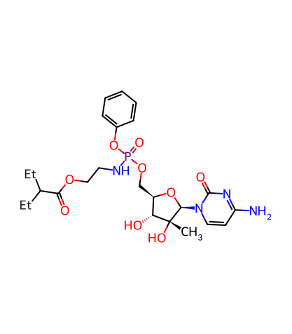 CCC(CC)C(=O)OCCNP(=O)(OC[C@H]1O[C@@H](n2ccc(N)nc2=O)[C@](C)(O)[C@@H]1O)Oc1ccccc1